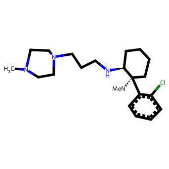 CN[C@@]1(c2ccccc2Cl)CCCC[C@@H]1NCCCN1CCN(C)CC1